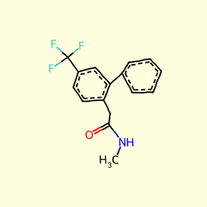 CNC(=O)Cc1ccc(C(F)(F)F)cc1-c1ccccc1